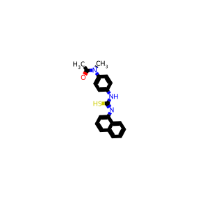 CC(=O)N(C)c1ccc(N/C(S)=N/c2cccc3ccccc23)cc1